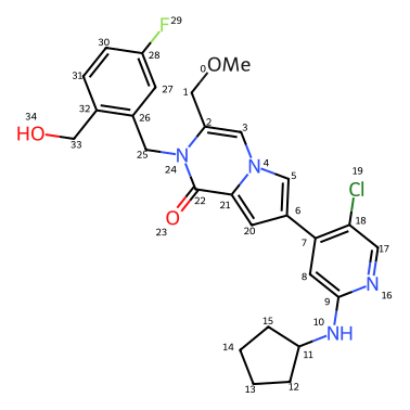 COCc1cn2cc(-c3cc(NC4CCCC4)ncc3Cl)cc2c(=O)n1Cc1cc(F)ccc1CO